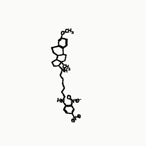 COc1ccc2c(c1)CCC1C2CC[C@@]2(C)C1CC[C@@H]2NCCCCCCNc1ccc([N+](=O)[O-])cc1[N+](=O)[O-]